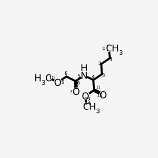 CCCCC(NC(=O)COC)C(=O)OC